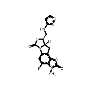 Cn1c(=O)oc2c3c(cc(F)c21)N1C(=O)O[C@@H](CNc2ccon2)[C@@H]1C3